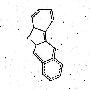 C1=CC2=C3C=c4ccccc4=CC3OC2C=C1